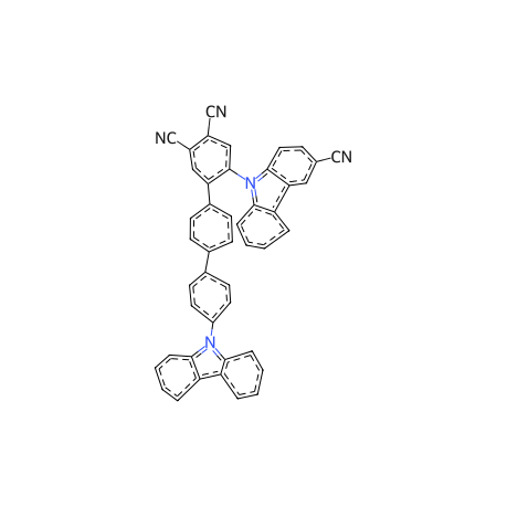 N#Cc1ccc2c(c1)c1ccccc1n2-c1cc(C#N)c(C#N)cc1-c1ccc(-c2ccc(-n3c4ccccc4c4ccccc43)cc2)cc1